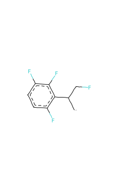 [CH2]C(CF)c1c(F)ccc(F)c1F